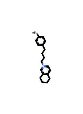 CCCCc1ccc(CCCC[n+]2ccc3c(c2)CCCC3)cc1